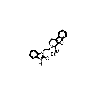 CCOC1c2oc3ccccc3c2CCN1CCn1c(=O)[nH]c2ccccc21